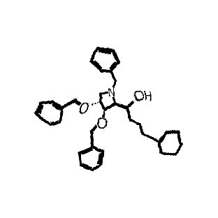 OC(CCCC1CCCCC1)C1[C@@H](OCc2ccccc2)[C@H](OCc2ccccc2)CN1Cc1ccccc1